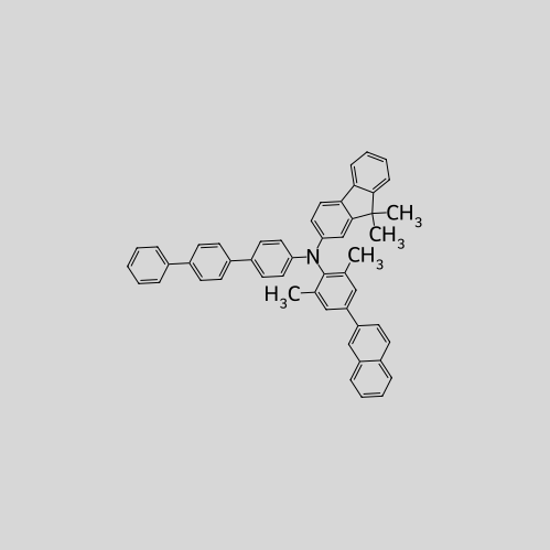 Cc1cc(-c2ccc3ccccc3c2)cc(C)c1N(c1ccc(-c2ccc(-c3ccccc3)cc2)cc1)c1ccc2c(c1)C(C)(C)c1ccccc1-2